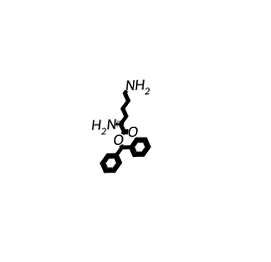 NCCCC[C@H](N)C(=O)OC(c1ccccc1)c1ccccc1